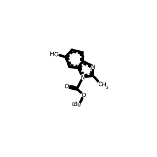 Cc1nc2ccc(O)cc2n1C(=O)OC(C)(C)C